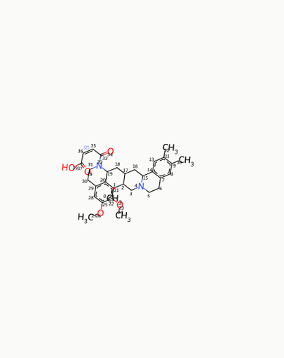 CCC1CN2CCc3cc(C)c(C)cc3C2CC1CC1c2cc(OC)c(OC)cc2CCN1C(=O)/C=C\C(=O)O